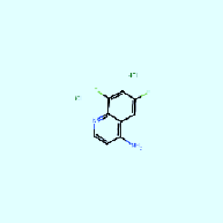 Cl.Cl.Nc1ccnc2c(F)cc(F)cc12